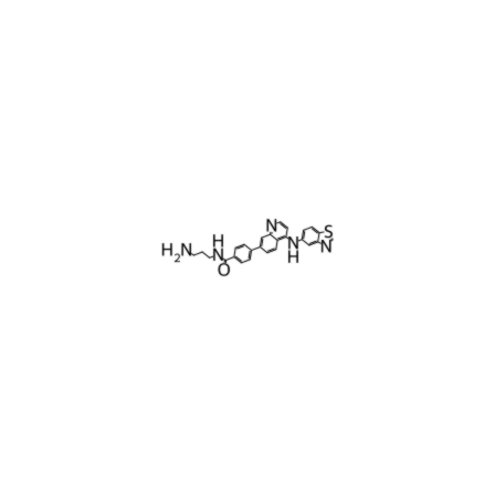 NCCCNC(=O)c1ccc(-c2ccc3c(Nc4ccc5scnc5c4)ccnc3c2)cc1